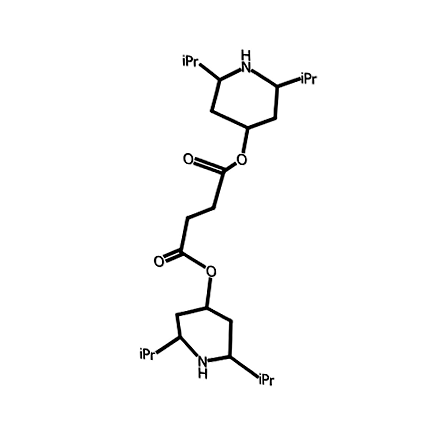 CC(C)C1CC(OC(=O)CCC(=O)OC2CC(C(C)C)NC(C(C)C)C2)CC(C(C)C)N1